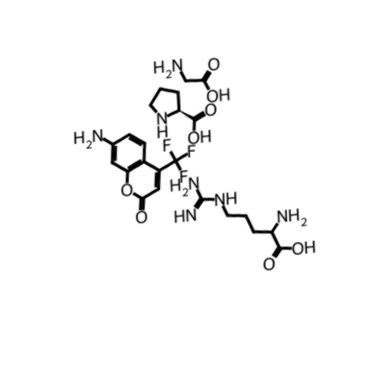 N=C(N)NCCCC(N)C(=O)O.NCC(=O)O.Nc1ccc2c(C(F)(F)F)cc(=O)oc2c1.O=C(O)[C@@H]1CCCN1